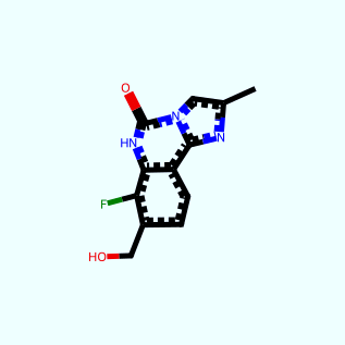 Cc1cn2c(=O)[nH]c3c(F)c(CO)ccc3c2n1